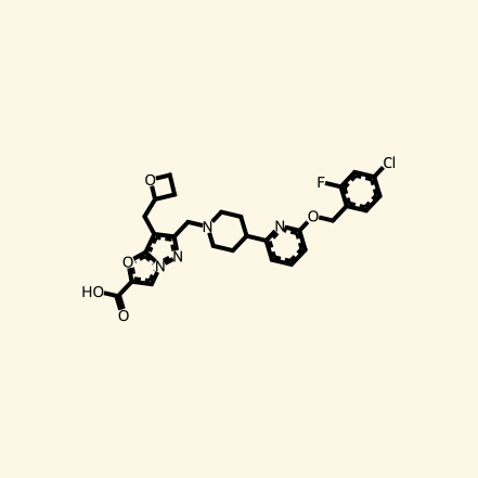 O=C(O)c1cn2nc(CN3CCC(c4cccc(OCc5ccc(Cl)cc5F)n4)CC3)c(CC3CCO3)c2o1